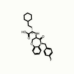 O=C(O)[C@H](CCC1CCCCC1)NC1COc2ccccc2N(Cc2ccc(F)cc2)C1=O